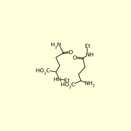 CCNC(=O)CCC(N)C(=O)O.CCNC(CCC(N)=O)C(=O)O